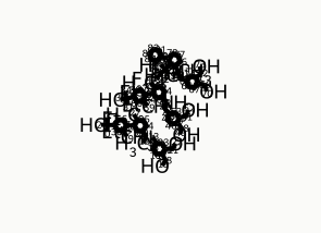 CCC(O)(CC)c1ccc(-c2cc(N(C)Cc3ccc(CO)c(CO)c3)ccc2C)c(C)c1.CCC(O)(CC)c1ccc(-c2cc(NCc3ccc(CO)c(CO)c3)ccc2C)c(C)c1.C[N+](C)(Cc1ccc(CO)c(CO)c1)c1cccc(-c2ccccc2)c1C(O)(F)C(F)(F)C(F)(F)F